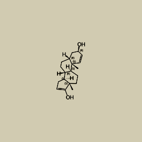 C[C@]12C=C[C@H](O)C[C@H]1CC[C@@H]1[C@@H]2CC[C@]2(C)C(O)=CC[C@@H]12